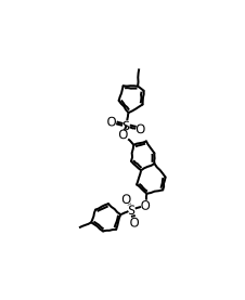 Cc1ccc(S(=O)(=O)Oc2ccc3ccc(OS(=O)(=O)c4ccc(C)cc4)cc3c2)cc1